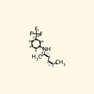 C/C=C\C=C(/C)Nc1cccc(C(F)(F)F)c1